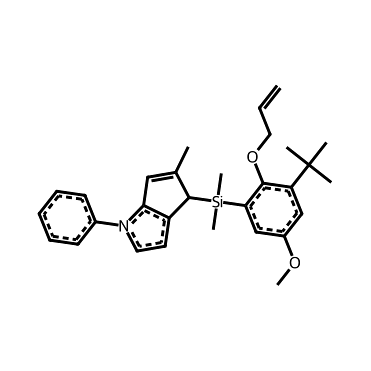 C=CCOc1c(C(C)(C)C)cc(OC)cc1[Si](C)(C)C1C(C)=Cc2c1ccn2-c1ccccc1